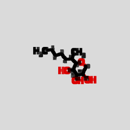 CCCCCC(C)C1OCC(O)C(O)C1O